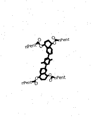 CCCCCC(=O)OC1CCC(OC(=O)CCCCC)c2cc(-c3cc(C)c(-c4ccc5c(c4)C(OC(=O)CCCCC)CCC5OC(=O)CCCCC)cc3C)ccc21